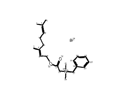 CC(C)=CCCC(C)=CCOC(=O)C[N+](C)(C)Cc1ccccc1.[Br-]